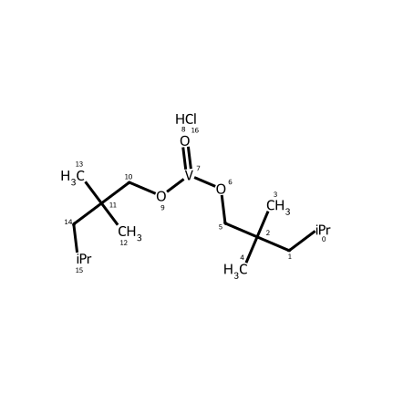 CC(C)CC(C)(C)C[O][V](=[O])[O]CC(C)(C)CC(C)C.Cl